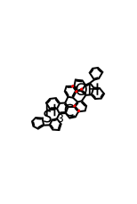 CC1=C(c2c(O)cccc2-c2c3ccccc3c(-c3cccc4c3sc3ccccc34)c3ccccc23)C(c2c3ccccc3c(-c3ccccc3)c3ccccc23)=CCC1